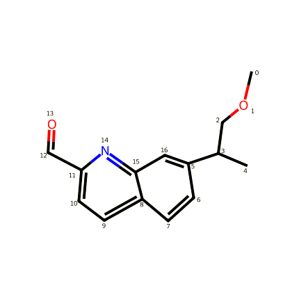 COCC(C)c1ccc2ccc(C=O)nc2c1